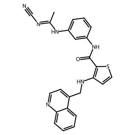 C/C(=N\C#N)Nc1cccc(NC(=O)c2sccc2NCc2ccnc3ccccc23)c1